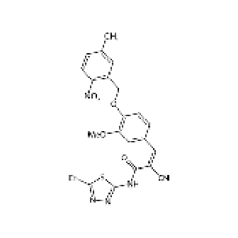 CCc1nnc(NC(=O)C(C#N)=Cc2ccc(OCc3cc(C)ccc3[N+](=O)[O-])c(OC)c2)s1